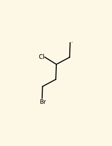 [CH2]CC(Cl)CCBr